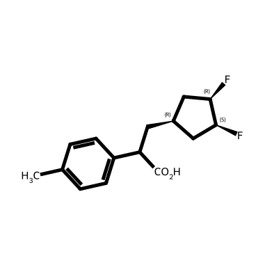 Cc1ccc(C(C[C@H]2C[C@@H](F)[C@@H](F)C2)C(=O)O)cc1